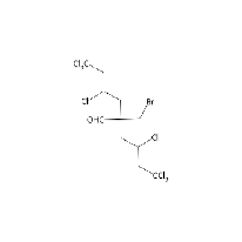 O=CC(CBr)(CC(Cl)CC(Cl)(Cl)Cl)CC(Cl)CC(Cl)(Cl)Cl